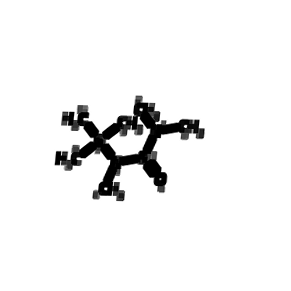 CN(C)[Si](=O)N(C)[Si](C)(C)C